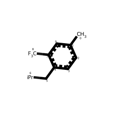 Cc1ccc(CC(C)C)c(C(F)(F)F)c1